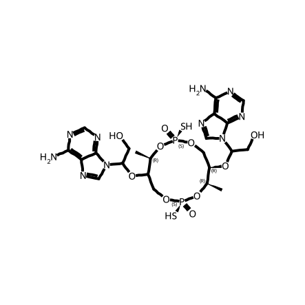 C[C@H]1O[P@@](=O)(S)OC[C@@H](OC(CO)n2cnc3c(N)ncnc32)[C@@H](C)O[P@@](=O)(S)OCC1OC(CO)n1cnc2c(N)ncnc21